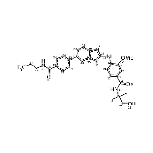 COc1cc(C(=O)NC(C)(C)CO)ccc1Nc1nc2ccc(-c3ccc(C(=O)NCCC(F)(F)F)cc3)cn2n1